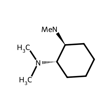 CN[C@H]1CCCC[C@@H]1N(C)C